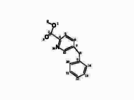 COC(=O)c1ccc(Cc2ccccc2)cn1